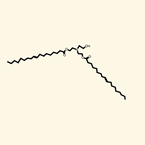 CCCCCCCC/C=C/CCCCCCCC(=O)OCCN(CCO)CCOC(=O)CCCCCCC/C=C/CCCCCCCC